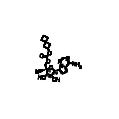 N#C[C@]1(COC(=O)OC2CC3(CCC3)C2)O[C@@H](c2ccc3c(N)ncnn23)[C@H](O)[C@@H]1O